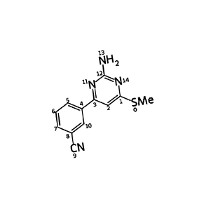 CSc1cc(-c2cccc(C#N)c2)nc(N)n1